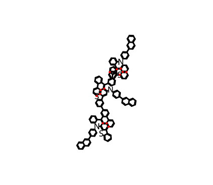 c1ccc(N(c2ccc(-c3ccc4ccccc4c3)cc2)c2cccc3c2sc2ccccc23)c(-c2cc3ccccc3c3ccc(-c4ccc5sc6ccc(N(c7ccc(-c8ccc9ccccc9c8)cc7)c7ccc(-c8cccc9c8sc8cccc(N(c%10ccc(-c%11ccc%12ccccc%12c%11)cc%10)c%10ccccc%10-c%10cc%11ccccc%11c%11ccccc%10%11)c89)cc7-c7cc8ccccc8c8ccccc78)cc6c5c4)cc23)c1